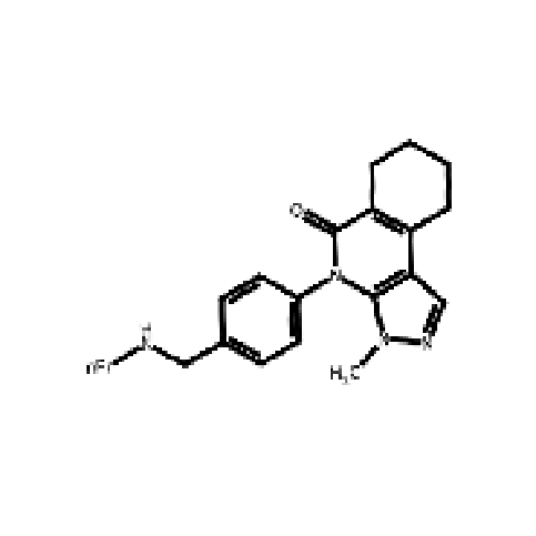 CCCNCc1ccc(-n2c(=O)c3c(c4cnn(C)c42)CCCC3)cc1